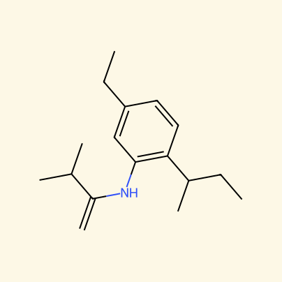 C=C(Nc1cc(CC)ccc1C(C)CC)C(C)C